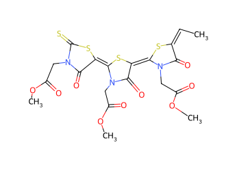 C/C=c1/s/c(=c2\s/c(=C3\SC(=S)N(CC(=O)OC)C3=O)n(CC(=O)OC)c2=O)n(CC(=O)OC)c1=O